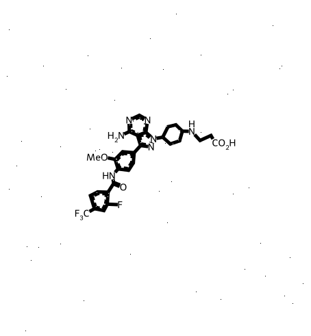 COc1cc(-c2nn(C3CCC(NCCC(=O)O)CC3)c3ncnc(N)c23)ccc1NC(=O)c1ccc(C(F)(F)F)cc1F